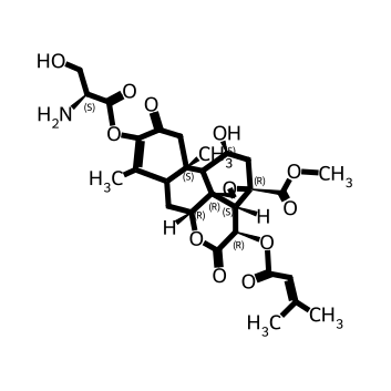 COC(=O)[C@@]12C[C@H](O)C3[C@@]4(C)CC(=O)C(OC(=O)[C@@H](N)CO)=C(C)C4C[C@H]4OC(=O)[C@H](OC(=O)C=C(C)C)[C@@H]1[C@@]34CO2